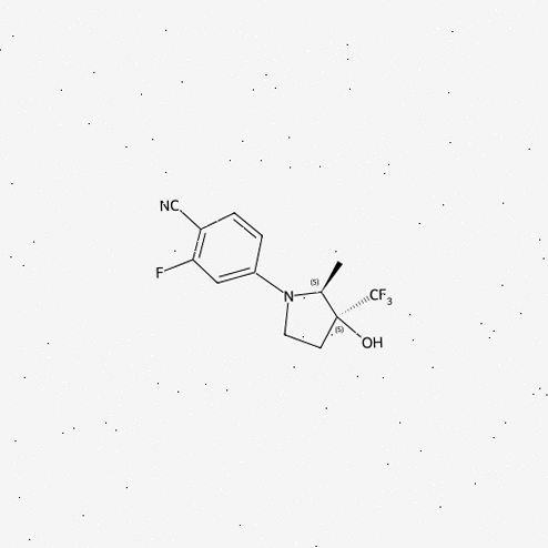 C[C@@H]1N(c2ccc(C#N)c(F)c2)CC[C@@]1(O)C(F)(F)F